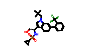 CC(C)(C)Cn1cc([C@@H](CO)NS(=O)(=O)C2CC2)c2ccc(-c3ccccc3C(F)(F)F)cc21